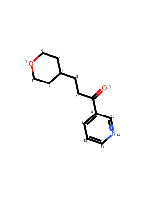 O=C(CCC1CCOCC1)c1cccnc1